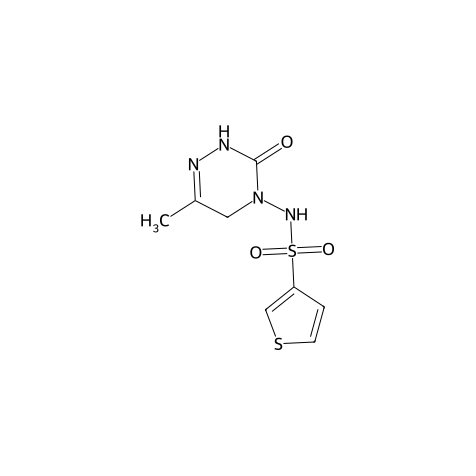 CC1=NNC(=O)N(NS(=O)(=O)c2ccsc2)C1